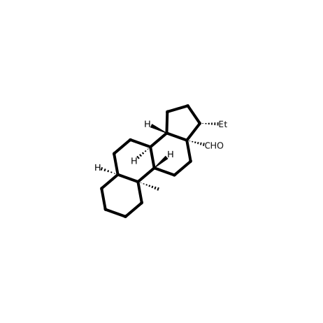 CC[C@H]1CC[C@H]2[C@@H]3CC[C@@H]4CCCC[C@]4(C)[C@H]3CC[C@]12C=O